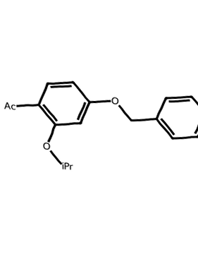 CC(=O)c1ccc(OCc2ccccc2)cc1OC(C)C